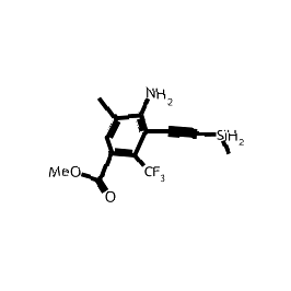 COC(=O)c1cc(C)c(N)c(C#C[SiH2]C)c1C(F)(F)F